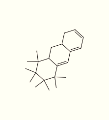 CC1(C)C2=CC3=CC=CCC3CC2C(C)(C)C(C)(C)C1(C)C